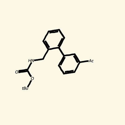 CC(=O)c1cccc(-c2ccccc2CNC(=O)OC(C)(C)C)c1